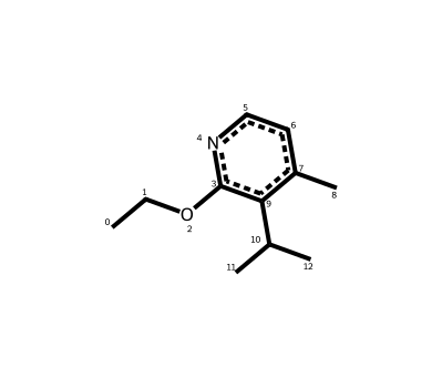 CCOc1nccc(C)c1C(C)C